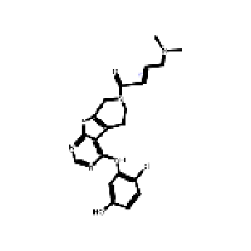 CN(C)C/C=C/C(=O)N1CCc2c(sc3ncnc(Nc4cc(O)ccc4Cl)c23)C1